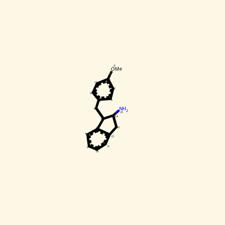 COc1ccc(CC2c3ccccc3CC2N)cc1